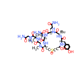 CC[C@H](C)[C@@H]1NC(=O)[C@@H](Cc2ccc(O)cc2)NC(O)CC[S+]([O-])CC[C@@H](C(=O)N(C)CC(=O)NC(C)(C)C(=O)NCC(N)=O)NC(=O)[C@H](CC(N)=O)NC(=O)[C@H](CCC(N)=O)NC1=O